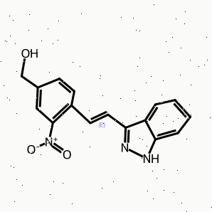 O=[N+]([O-])c1cc(CO)ccc1/C=C/c1n[nH]c2ccccc12